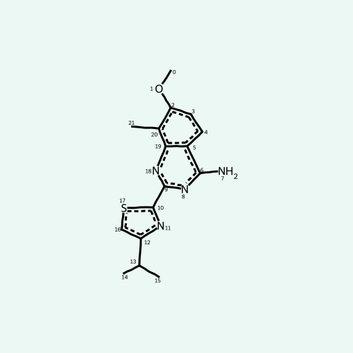 COc1ccc2c(N)nc(-c3nc(C(C)C)cs3)nc2c1C